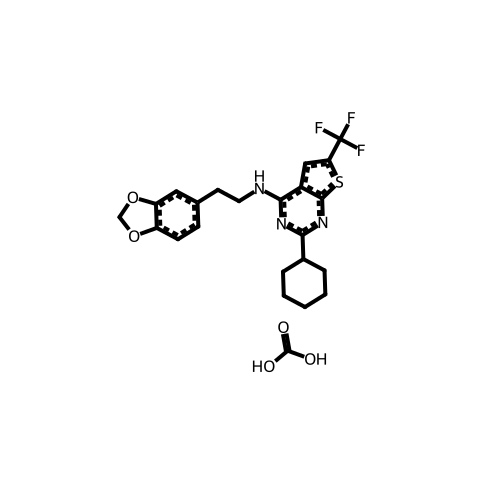 FC(F)(F)c1cc2c(NCCc3ccc4c(c3)OCO4)nc(C3CCCCC3)nc2s1.O=C(O)O